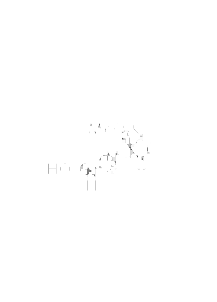 COc1ccc2ccc(=O)n(CCN3CCC(NC(=O)O)CC3)c2n1